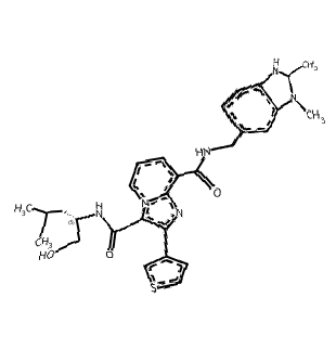 CC(C)C[C@@H](CO)NC(=O)c1c(-c2ccsc2)nc2c(C(=O)NCc3ccc4c(c3)N(C)C(C)N4)cccn12